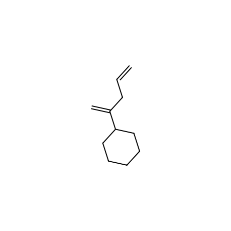 C=CCC(=C)C1CCCCC1